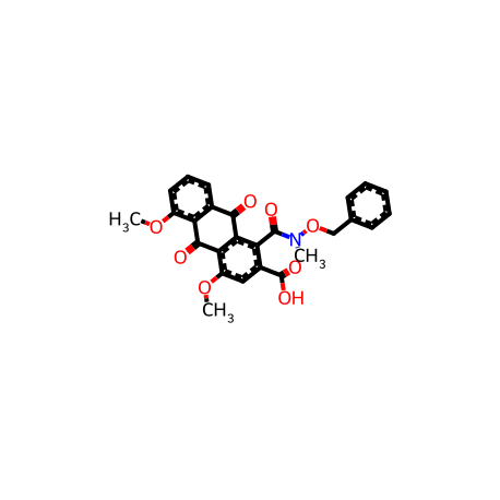 COc1cccc2c1C(=O)c1c(OC)cc(C(=O)O)c(C(=O)N(C)OCc3ccccc3)c1C2=O